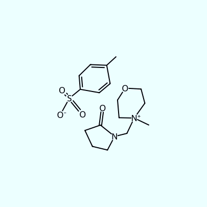 C[N+]1(CN2CCCC2=O)CCOCC1.Cc1ccc(S(=O)(=O)[O-])cc1